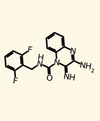 N=c1c(N)nc2ccccc2n1C(=O)NCc1c(F)cccc1F